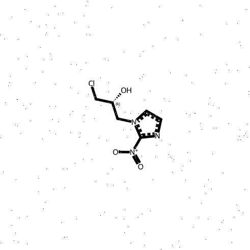 O=[N+]([O-])c1nccn1C[C@@H](O)CCl